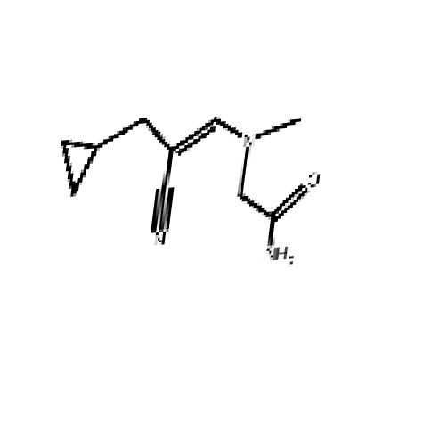 CN(C=C(C#N)CC1CC1)CC(N)=O